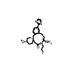 CO[C@H]1CC[C@@]2(CC1)CC(=O)N(CCF)/C(N)=N\Cc1cc(-c3nccs3)ccc1C2